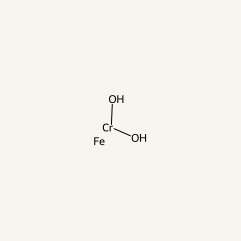 [Fe].[OH][Cr][OH]